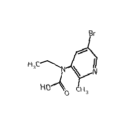 CCN(C(=O)O)c1cc(Br)cnc1C